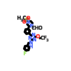 CS(=O)(=O)N1CCN(C=O)C(c2cccc(-c3nc(NCc4ccc(F)cc4)nc(OCC(F)(F)F)n3)c2)C1